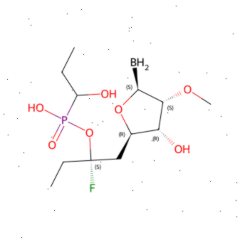 B[C@@H]1O[C@H](C[C@@](F)(CC)OP(=O)(O)C(O)CC)[C@@H](O)[C@H]1OC